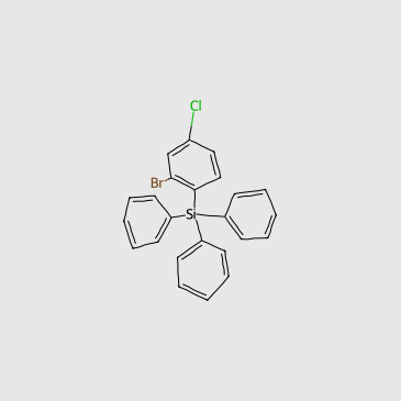 Clc1ccc([Si](c2ccccc2)(c2ccccc2)c2ccccc2)c(Br)c1